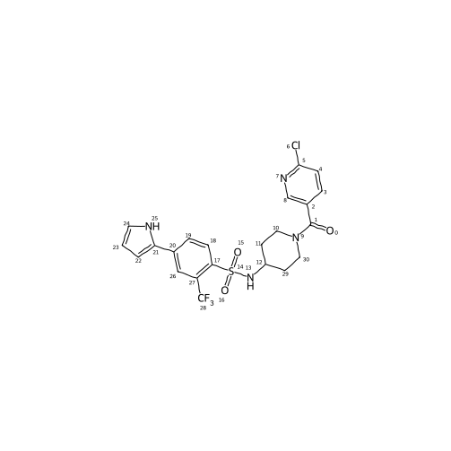 O=C(c1ccc(Cl)nc1)N1CCC(NS(=O)(=O)c2ccc(-c3ccc[nH]3)cc2C(F)(F)F)CC1